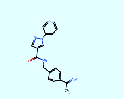 CC(=N)c1ccc(CNC(=O)c2cnn(-c3ccccc3)c2)cc1